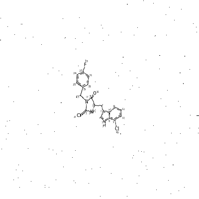 O=C1NC(Cc2c[nH]c3c(Cl)cccc23)C(=O)N1Cc1ccc(F)cc1